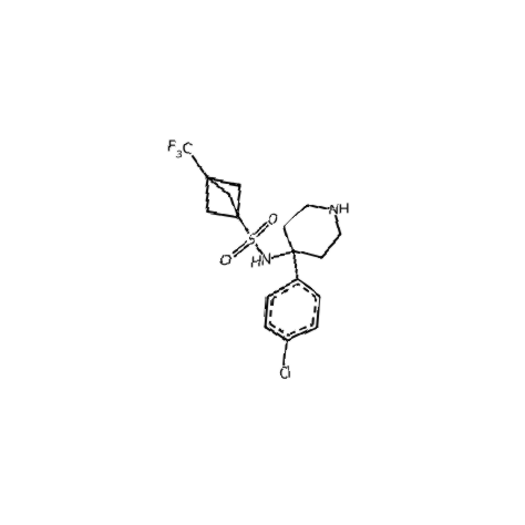 O=S(=O)(NC1(c2ccc(Cl)cc2)CCNCC1)C12CC(C(F)(F)F)(C1)C2